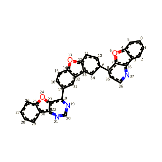 c1ccc2c(c1)oc1c(-c3ccc4oc5ccc(-c6ncnc7c6oc6ccccc67)cc5c4c3)ccnc12